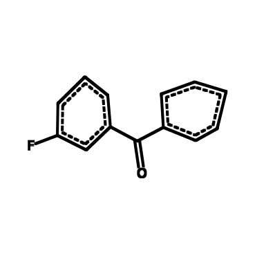 O=C(c1ccccc1)c1cccc(F)c1